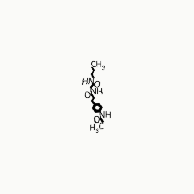 CCCCCNC(=O)CNC(=O)CCc1ccc(NC(=O)CC)cc1